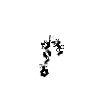 Cc1nc(Nc2ncc(C(=O)OC(C)C)s2)cc(N2CCN(CCOC(=O)c3ccccc3)CC2)n1